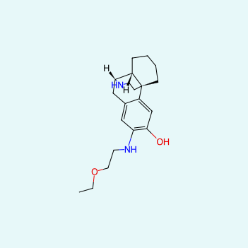 CCOCCNc1cc2c(cc1O)[C@@]13CCCC[C@H]1[C@@H](C2)NCC3